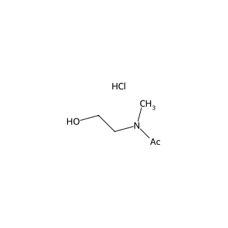 CC(=O)N(C)CCO.Cl